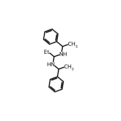 CCC(NC(C)c1ccccc1)NC(C)c1ccccc1